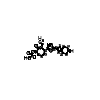 CCN1C(=O)N(OS(=O)(=O)O)CCC[C@H]1c1nnc(C2CC3(CCNCC3)C2)o1